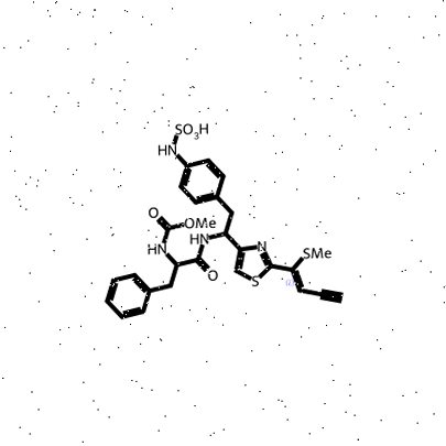 C#C/C=C(\SC)c1nc(C(Cc2ccc(NS(=O)(=O)O)cc2)NC(=O)C(Cc2ccccc2)NC(=O)OC)cs1